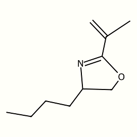 C=C(C)C1=NC(CCCC)CO1